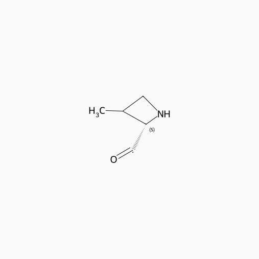 CC1CN[C@@H]1[C]=O